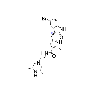 Cc1[nH]c(/C=C2\C(=O)Nc3ccc(Br)cc32)c(C)c1C(=O)NCCN1CC(C)NC(C)C1